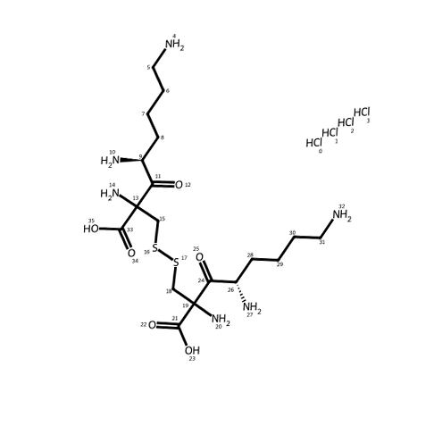 Cl.Cl.Cl.Cl.NCCCC[C@H](N)C(=O)C(N)(CSSCC(N)(C(=O)O)C(=O)[C@@H](N)CCCCN)C(=O)O